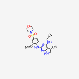 COc1cc(S(=O)(=O)N2CCOCC2)ccc1Nc1nc(NCC2CC2)c2c(C#N)c[nH]c2n1